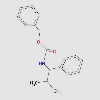 CC(C)C(NC(=O)OCc1ccccc1)c1ccccc1